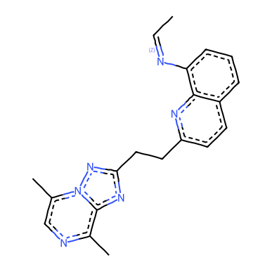 C/C=N\c1cccc2ccc(CCc3nc4c(C)ncc(C)n4n3)nc12